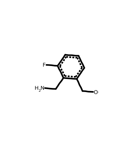 NCc1c(F)cccc1C[O]